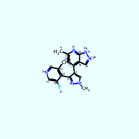 Cc1cc(-c2cn(C)nc2-c2c(C)cncc2F)c2cn[nH]c2n1